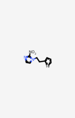 O=[N+]([O-])c1nccn1CCc1ccc[te]1